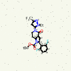 CCn1nc(C(F)(F)F)cc1N1CCc2c(cc(-c3c(F)cccc3F)n2C(=O)OC(C)(C)C)C1=O